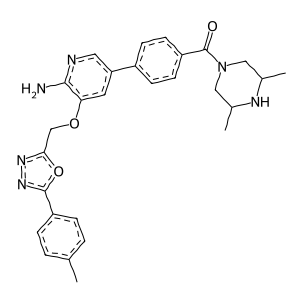 Cc1ccc(-c2nnc(COc3cc(-c4ccc(C(=O)N5CC(C)NC(C)C5)cc4)cnc3N)o2)cc1